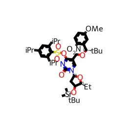 CC[C@H]1O[C@@H](n2cc(CO[C@H](c3cc(OC)ccc3[N+](=O)[O-])C(C)(C)C)c(OS(=O)(=O)c3c(C(C)C)cc(C(C)C)cc3C(C)C)nc2=O)CC1O[Si](C)(C)C(C)(C)C